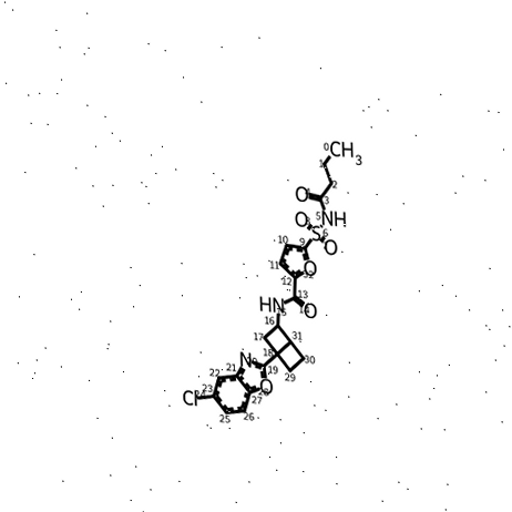 CCCC(=O)NS(=O)(=O)c1ccc(C(=O)NC2CC3(c4nc5cc(Cl)ccc5o4)CCC23)o1